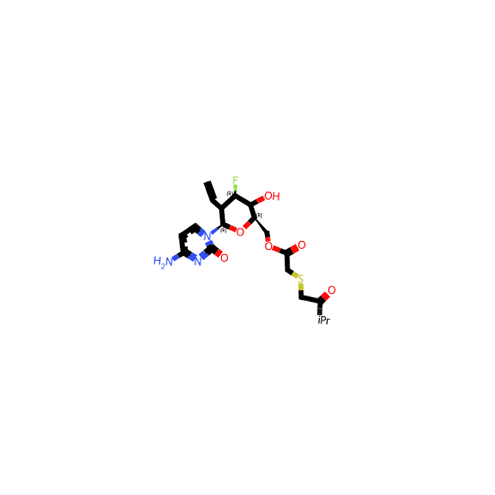 C=CC1[C@@H](F)C(O)[C@@H](COC(=O)CSCC(=O)C(C)C)O[C@H]1n1ccc(N)nc1=O